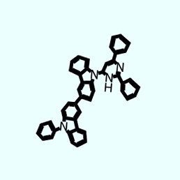 C1=C(c2ccccc2)N=C(c2ccccc2)NC1n1c2ccccc2c2cc(-c3ccc4c(c3)c3ccccc3n4-c3ccccc3)ccc21